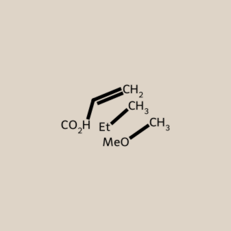 C=CC(=O)O.CCC.COC